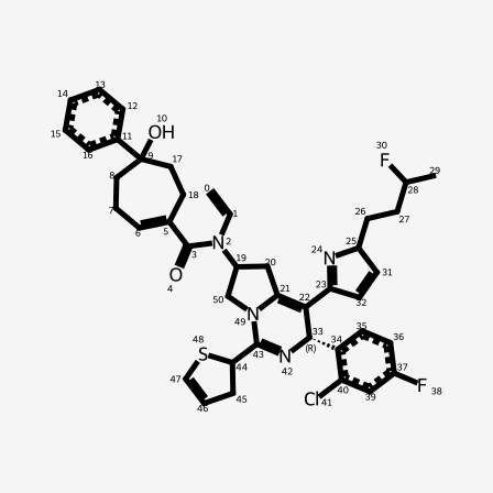 C=CN(C(=O)C1=CCCC(O)(c2ccccc2)CC1)C1CC2=C(C3=NC(CCC(C)F)C=C3)[C@H](c3ccc(F)cc3Cl)N=C(C3CC=CS3)N2C1